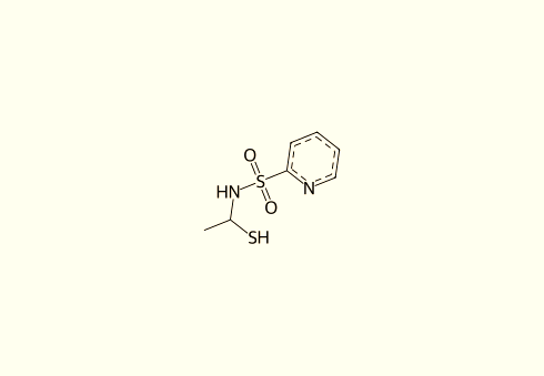 CC(S)NS(=O)(=O)c1ccccn1